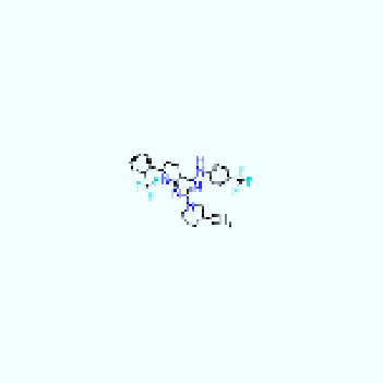 CC1CCCN(c2nc(Nc3ccc(C(F)(F)F)cc3)c3ccc(-c4ccccc4C(F)(F)F)nc3n2)C1